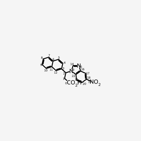 O=C(O)CC(c1ccc2ccccc2c1)n1cnc2cc([N+](=O)[O-])ccc21